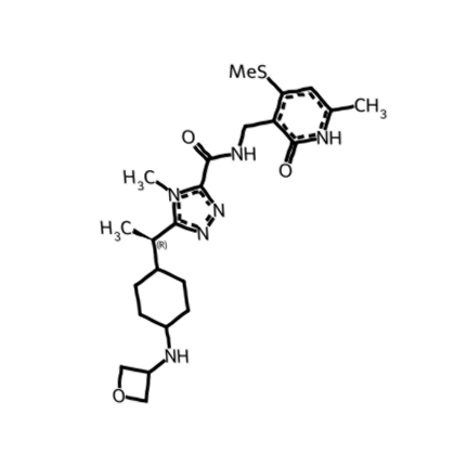 CSc1cc(C)[nH]c(=O)c1CNC(=O)c1nnc([C@H](C)C2CCC(NC3COC3)CC2)n1C